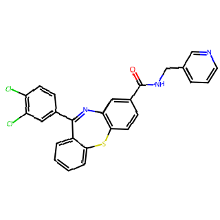 O=C(NCc1cccnc1)c1ccc2c(c1)N=C(c1ccc(Cl)c(Cl)c1)c1ccccc1S2